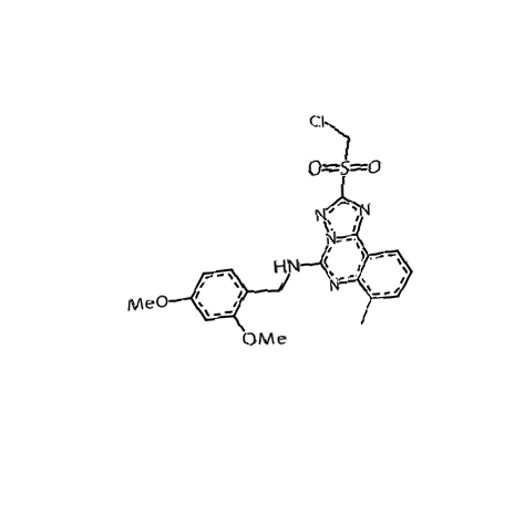 COc1ccc(CNc2nc3c(C)cccc3c3nc(S(=O)(=O)CCl)nn23)c(OC)c1